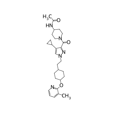 CC(=O)NC1CCN(C(=O)c2nn(CCC3CCC(Oc4ncccc4C)CC3)cc2C2CC2)CC1